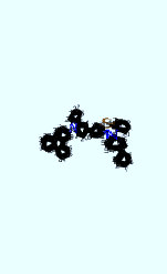 c1ccc(-c2ccc(N3c4ccccc4Sc4cc(-c5ccc6c(c5)c5ccccc5n6-c5ccc6c7ccccc7c7ccccc7c6c5)ccc43)cc2)cc1